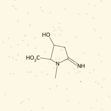 CN1C(=N)CC(O)C1C(=O)O